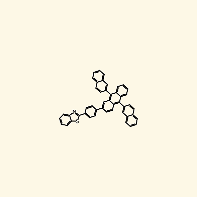 c1ccc2cc(-c3c4ccccc4c(-c4ccc5ccccc5c4)c4cc(-c5ccc(-c6nc7ccccc7s6)cc5)ccc34)ccc2c1